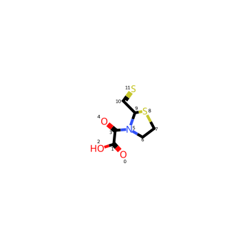 O=C(O)C(=O)N1CCSC1C=S